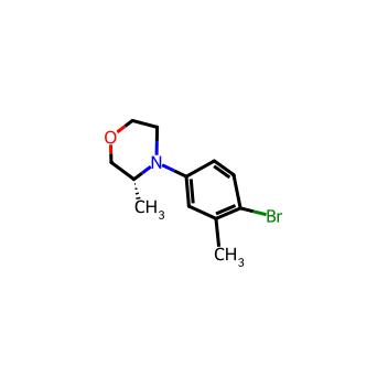 Cc1cc(N2CCOC[C@H]2C)ccc1Br